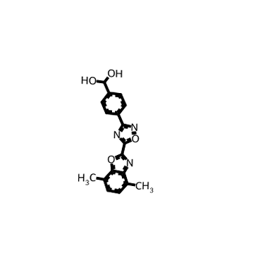 Cc1ccc(C)c2oc(-c3nc(-c4ccc(C(O)O)cc4)no3)nc12